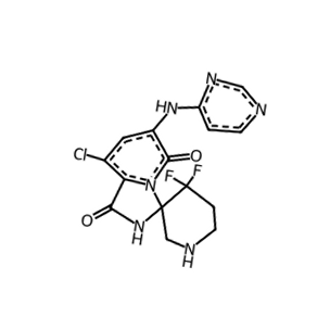 O=C1NC2(CNCCC2(F)F)n2c1c(Cl)cc(Nc1ccncn1)c2=O